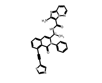 C[C@H](NC(=O)c1c(N)nc2cccnn12)c1cc2cccc(C#Cc3cncs3)c2c(=O)n1-c1ccccc1